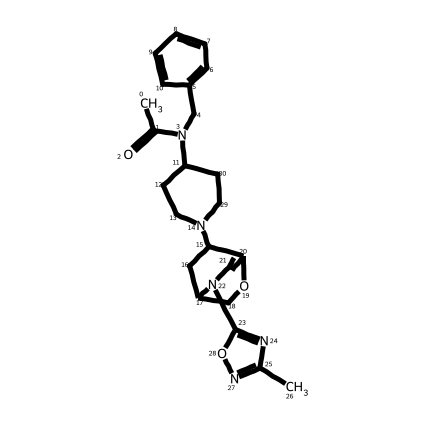 CC(=O)N(Cc1ccccc1)C1CCN(C2CC3COC2=CN3c2nc(C)no2)CC1